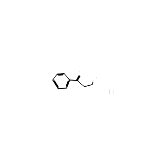 O=C(C[C@H](O)C(=O)O)c1ccccc1